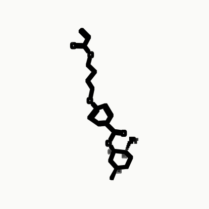 C=CC(=O)OCCCCOc1ccc(C(=O)O[C@@H]2C[C@H](C)CC[C@H]2C(C)C)cc1